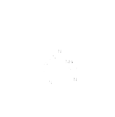 Cc1cccc(C)c1-c1cc2nc(n1)NS(=O)(=O)c1cc(ccn1)CN1CCCC(C1)O2